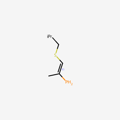 C/C(P)=C\SCC(C)C